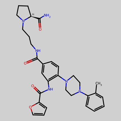 Cc1ccccc1N1CCN(c2ccc(C(=O)NCCCN3CCC[C@H]3C(N)=O)cc2NC(=O)c2ccco2)CC1